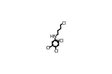 Cl.ClCCCCNc1ccc(Cl)c(Cl)c1